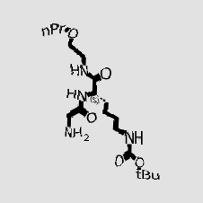 CCCOCCNC(=O)[C@H](CCCCNC(=O)OC(C)(C)C)NC(=O)CN